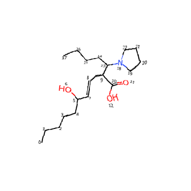 CCCCCC(O)C=CC(C(=O)O)C(CCCC)N1CCCC1